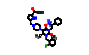 COC(=O)c1ccc(CN2CCN(c3c(C)n(Cc4c(F)cccc4C(F)(F)F)c(=O)n(C[C@@H](N)c4ccccc4)c3=O)CC2)[nH]1